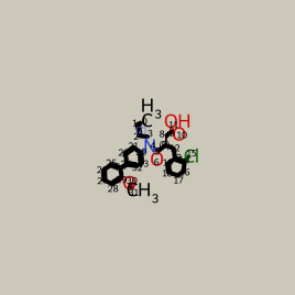 C/C=C\CN(C(=O)[C@@H](CC(=O)O)CC1=C(Cl)CCC=C1)c1ccc(-c2ccccc2OC)cc1